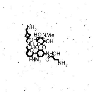 CN[C@@H]1[C@@H](O)[C@@H](O[C@@H]2[C@@H](O)[C@H](C3OC(CNCC4(O)CC(CN)C4)=CC[C@H]3N)[C@@H](N)C[C@H]2NC(=O)[C@@H](O)CCN)OC[C@]1(C)O